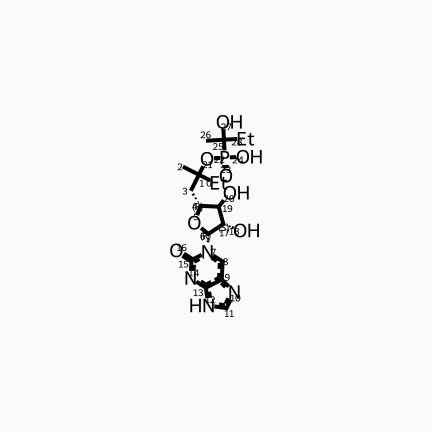 CCC(C)(C[C@H]1O[C@@H](n2cc3nc[nH]c3nc2=O)[C@@H](O)C1O)OP(=O)(O)C(C)(O)CC